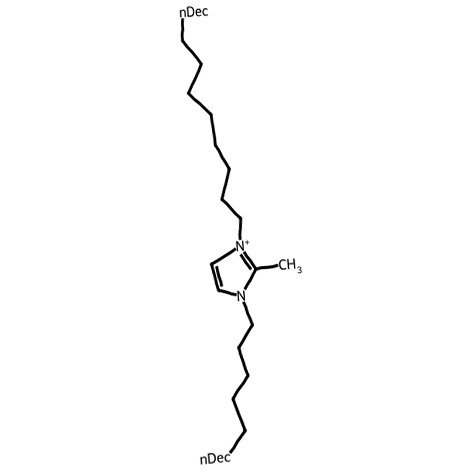 CCCCCCCCCCCCCCCCCC[n+]1ccn(CCCCCCCCCCCCCCC)c1C